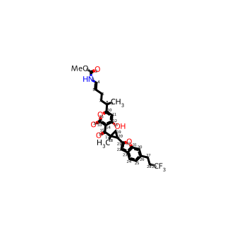 COC(=O)N/C=C/CCC(C)c1cc(O)c(C(=O)C2(C)CC2c2cc3ccc(CCC(F)(F)F)cc3o2)c(=O)o1